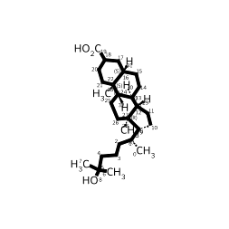 C[C@H](CCCC(C)(C)O)[C@H]1CC[C@H]2[C@@H]3CC[C@H]4CC(C(=O)O)CC[C@]4(C)[C@H]3CC[C@]12C